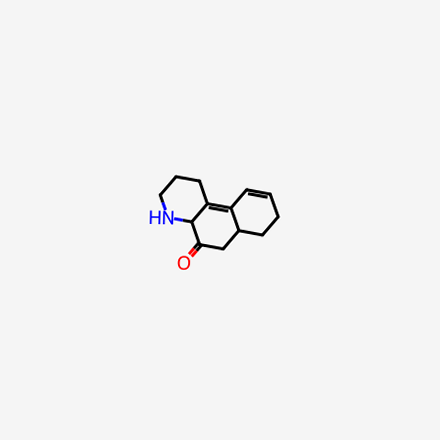 O=C1CC2CCC=CC2=C2CCCNC12